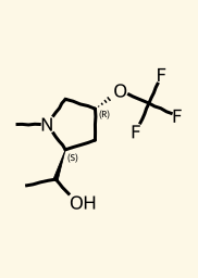 CC(O)[C@@H]1C[C@@H](OC(F)(F)F)CN1C